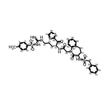 Cc1ccc(S(=O)(=O)NC(=N)NCCC[C@H](NC(=O)CN2C(=O)C(NS(=O)(=O)Cc3ccccc3)CCc3ccccc32)C(=O)c2nccs2)cc1